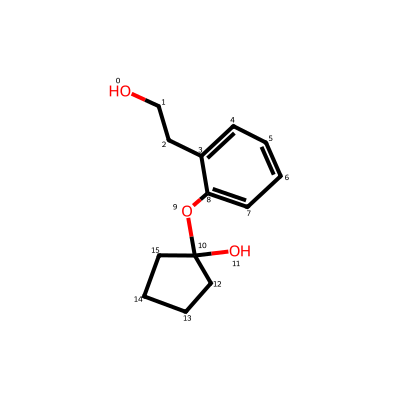 OCCc1ccccc1OC1(O)CCCC1